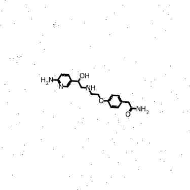 NC(=O)Cc1ccc(OCCNCC(O)c2ccc(N)nc2)cc1